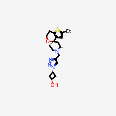 CCc1cc2c(s1)CCO[C@@]21CCN(Cc2cn([C@H]3C[C@H](O)C3)nn2)[C@@H](C)C1